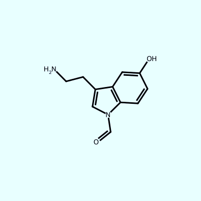 NCCc1cn(C=O)c2ccc(O)cc12